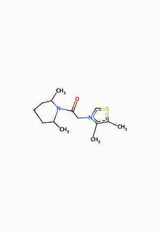 Cc1sc[n+](CC(=O)N2C(C)CCCC2C)c1C